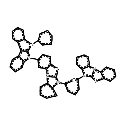 c1ccc(-n2c3ccccc3c3c4ccccc4n(-c4ccc5nc6n(-c7cccc(-n8c9ccccc9n9c%10ccccc%10nc89)c7)c7ccccc7n6c5c4)c32)cc1